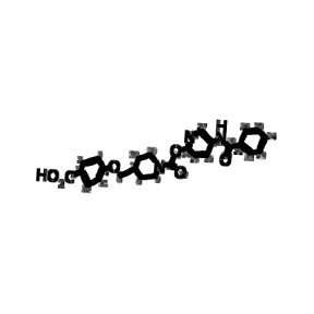 O=C(O)c1ccc(OCC2CCN(C(=O)Oc3ccc(NC(=O)c4ccccc4)cn3)CC2)cc1